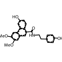 COc1cc2cc(C(=O)NCCc3ccc(O)cc3)c3ccc(O)cc3c2cc1OC